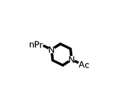 CCCN1CCN(C(C)=O)CC1